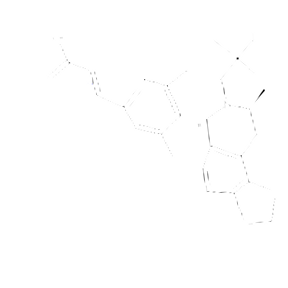 C[C@H]1Cc2c(ccc3c2OCO3)[C@H](c2c(F)cc(/C=C/C(=O)O)cc2F)N1CC(C)(C)F